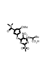 CCC(C)C(Nc1nc(S(C)(=O)=O)nc(Oc2cc(OC)cc(C(=O)N(C)C)c2)c1[N+](=O)[O-])C(=O)O